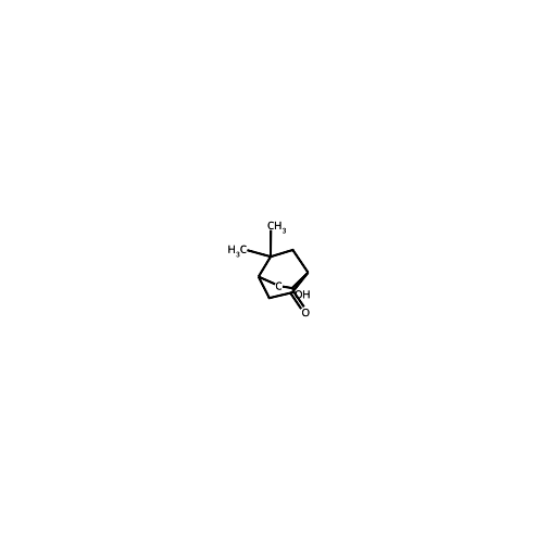 CC1(C)CC2C(=O)CC1CC2O